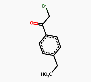 O=C(O)Cc1ccc(C(=O)CBr)cc1